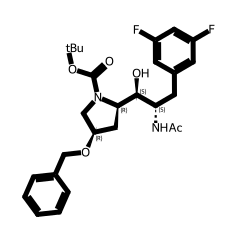 CC(=O)N[C@@H](Cc1cc(F)cc(F)c1)[C@H](O)[C@H]1C[C@@H](OCc2ccccc2)CN1C(=O)OC(C)(C)C